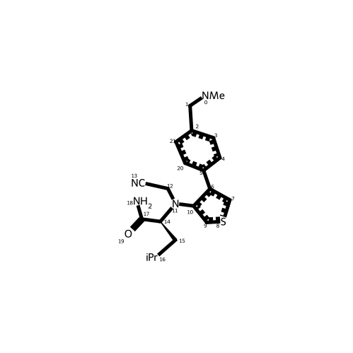 CNCc1ccc(-c2cscc2N(CC#N)[C@@H](CC(C)C)C(N)=O)cc1